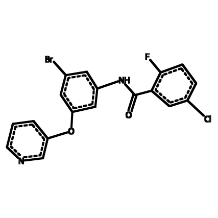 O=C(Nc1cc(Br)cc(Oc2cccnc2)c1)c1cc(Cl)ccc1F